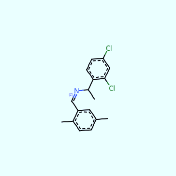 Cc1ccc(C)c(/C=N\C(C)c2ccc(Cl)cc2Cl)c1